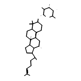 CCC1O[C@@H](OC2CC[C@@]3(C)C(CC[C@]4(C)C3C[C@@H](C)C3C([C@@](C)(O)CCC=C(C)C)CC[C@]34C)C2(C)C)C(C)[C@@H](C)[C@@H]1C